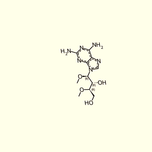 CO[C@H]([C@H](O)[C@@H](CO)OC)n1cnc2c(N)nc(N)nc21